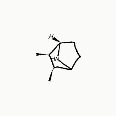 C[C@H]1[C@@H]2CCC(N2)[C@H]1C